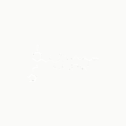 CNC(=O)O[C@@H]1O[C@@H](n2cnc3c(NCc4cc(Cl)ccc4OCc4nccs4)ncnc32)[C@H](O)[C@@H]1N